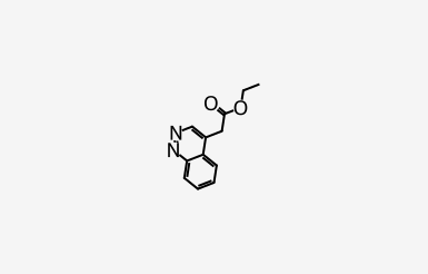 CCOC(=O)Cc1cnnc2ccccc12